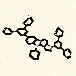 c1ccc(-c2cc(-c3ccccc3)cc(-c3ccc4c(c3)c3ccc5c(ccn5-c5cc(-c6ccccc6)cc(-c6ccccc6)c5)c3n4-c3ccccc3)c2)cc1